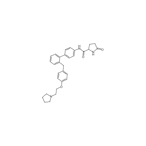 O=C1CCC(C(=O)Nc2ccc(-c3ccccc3Cc3ccc(OCCN4CCCC4)cc3)cc2)N1